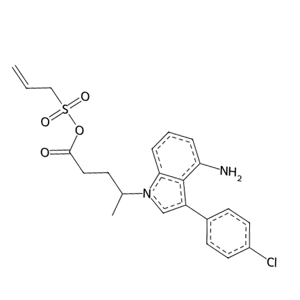 C=CCS(=O)(=O)OC(=O)CCC(C)n1cc(-c2ccc(Cl)cc2)c2c(N)cccc21